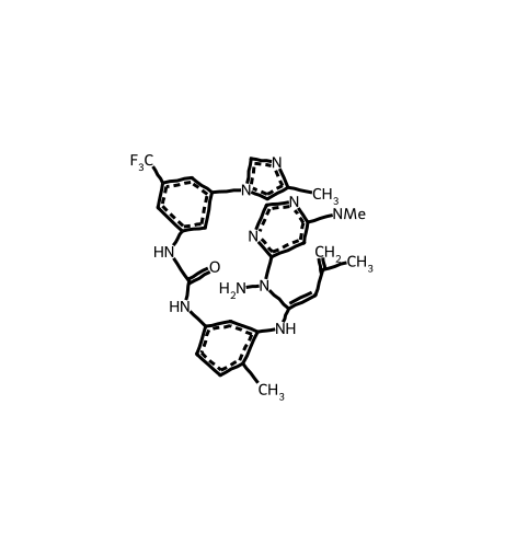 C=C(C)/C=C(/Nc1cc(NC(=O)Nc2cc(-n3cnc(C)c3)cc(C(F)(F)F)c2)ccc1C)N(N)c1cc(NC)ncn1